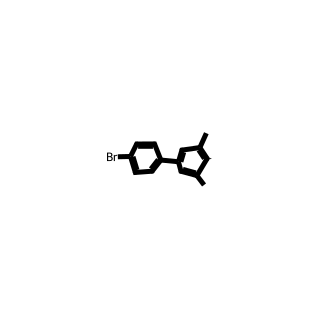 Cc1[c]c(C)cc(-c2ccc(Br)cc2)c1